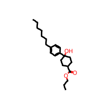 CCCCCCCc1ccc(C2(O)CCC(C(=O)OCCC)CC2)cc1